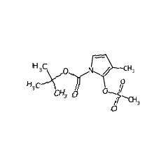 Cc1ccn(C(=O)OC(C)(C)C)c1OS(C)(=O)=O